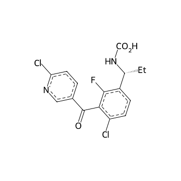 CC[C@@H](NC(=O)O)c1ccc(Cl)c(C(=O)c2ccc(Cl)nc2)c1F